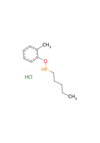 CCCCCPOc1ccccc1C.Cl